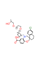 CC(O)CO[C@@H]1CCO[C@H]([C@@H]2CC[C@H]2CN2CC3(CCCc4cc(Cl)ccc43)COc3ccc(C(=O)O)cc32)C1